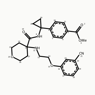 COC(=O)c1ccc(C2(NC(=O)C3(NCCOc4cccc(C#N)c4)CCOCC3)CC2)cc1